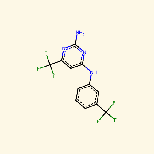 Nc1nc(Nc2cccc(C(F)(F)F)c2)cc(C(F)(F)F)n1